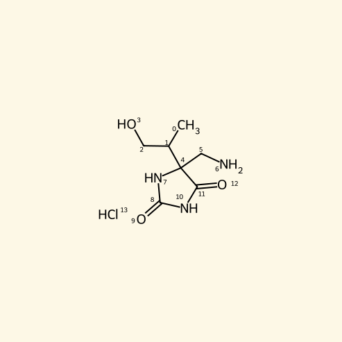 CC(CO)C1(CN)NC(=O)NC1=O.Cl